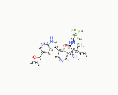 COCc1cnc2[nH]cc(-c3cncc([C@](N)(C(=O)NCC(F)(F)F)C(C)C)c3)c2c1